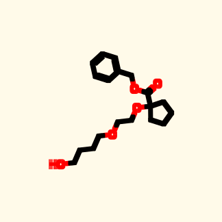 O=C(OCc1ccccc1)C1(OCCOCCCCO)CCCC1